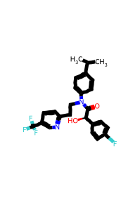 CC(C)c1ccc(N(CCc2ccc(C(F)(F)F)cn2)C(=O)[C@H](O)c2ccc(F)cc2)cc1